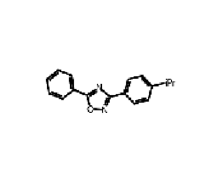 CC(C)c1ccc(-c2noc(-c3ccccc3)n2)cc1